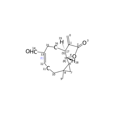 C=C1C(=O)O[C@@H]2C3CC3(C)CC/C=C(/C=O)CC[C@@H]12